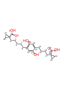 O=C(O)C1(CCCCCc2cc(O)c(CCCCC3(C(=O)O)CC3)cc2O)CC1